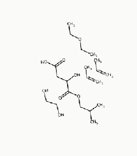 C=CC.C=CC.CC(C)COC(=O)C(O)CC(=O)O.CCOCC.OCCO